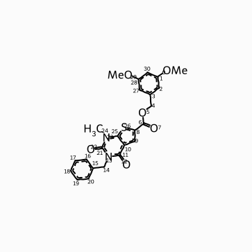 COc1cc(COC(=O)c2cc3c(=O)n(Cc4ccccc4)c(=O)n(C)c3s2)cc(OC)c1